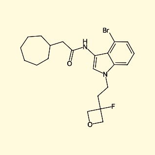 O=C(CC1CCCCCC1)Nc1cn(CCC2(F)COC2)c2cccc(Br)c12